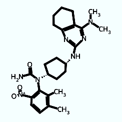 Cc1ccc([N+](=O)[O-])c(N(C(N)=O)[C@H]2CC[C@@H](Nc3nc4c(c(N(C)C)n3)CCCC4)CC2)c1C